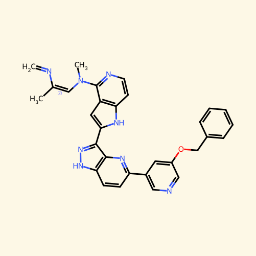 C=N/C(C)=C\N(C)c1nccc2[nH]c(-c3n[nH]c4ccc(-c5cncc(OCc6ccccc6)c5)nc34)cc12